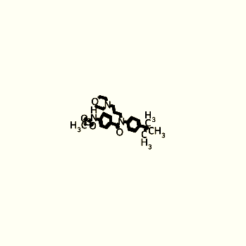 CC(C)(C)c1ccc(N(CCCN2CCOCC2)C(=O)c2ccc(NS(C)(=O)=O)cc2)cc1